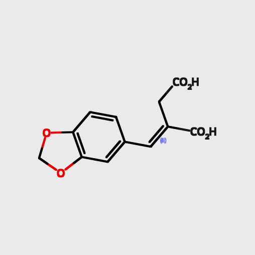 O=C(O)C/C(=C\c1ccc2c(c1)OCO2)C(=O)O